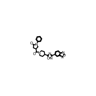 O=C(C1CC(=O)N(c2ccccc2)C1)N1CCC(c2nc(-c3ccc4nonc4c3)no2)CC1